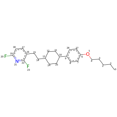 CCCCCOc1ccc(C2CCC(CCc3ccc(F)nc3F)CC2)cc1